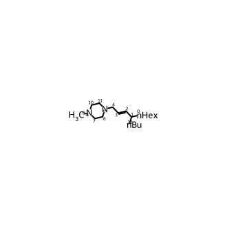 CCCCCCC(/C=C/CN1CCN(C)CC1)CCCC